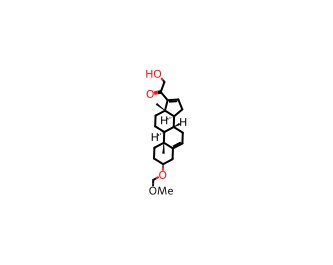 COCO[C@H]1CC[C@@]2(C)C(=CC[C@@H]3[C@@H]2CC[C@]2(C)C(C(=O)CO)=CC[C@@H]32)C1